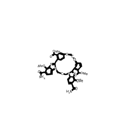 COC(=O)c1cc2ccc1-c1nc3c(OC)c(C(N)=O)ccc3n1CCCn1c(nc3c(OC)c(C(N)=O)ccc31)-c1cc(ccc1C(=O)OC)OCCO2